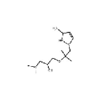 CN(C)CC(O)COC(C)(C)CN1C=CC(N)N1